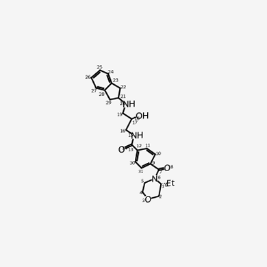 CC[C@@H]1COCCN1C(=O)c1ccc(C(=O)NCC(O)CNC2Cc3ccccc3C2)cc1